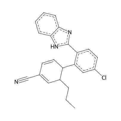 CCCC1C=C(C#N)C=CC1c1cc(Cl)ccc1-c1nc2ccccc2[nH]1